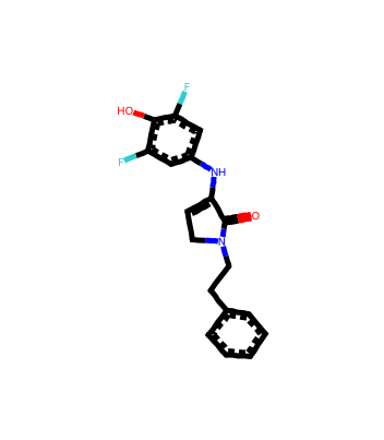 O=C1C(Nc2cc(F)c(O)c(F)c2)=CCN1CCc1ccccc1